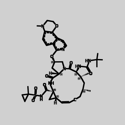 C[C@@H]1CCC=C[C@@H]2C[C@@]2(C(=O)NS(=O)(=O)C2(C)CC2)NC(=O)[C@@H]2C[C@@H](Oc3nccc4c5c(ccc34)N(C)CCO5)CN2C(=O)[C@@H](NC(=O)NC(C)(C)C)[C@H](C)C1